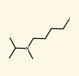 CC(C)N(C)CCCCI